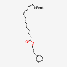 CCCCC/C=C\C/C=C\CCCCCCCC(=O)OCCCc1ccccc1